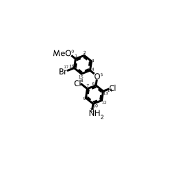 COc1ccc(Oc2c(Cl)cc(N)cc2Cl)cc1Br